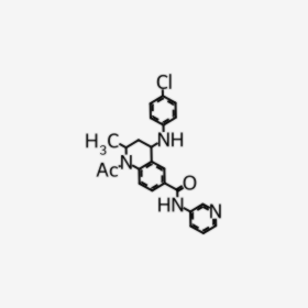 CC(=O)N1c2ccc(C(=O)Nc3cccnc3)cc2C(Nc2ccc(Cl)cc2)CC1C